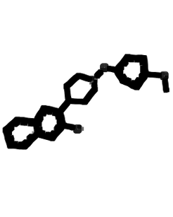 COc1ccc(ON2CCC(c3cc4ccccc4cc3[O])CC2)cc1